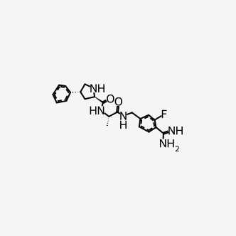 C[C@H](NC(=O)[C@H]1C[C@H](c2ccccc2)CN1)C(=O)NCc1ccc(C(=N)N)c(F)c1